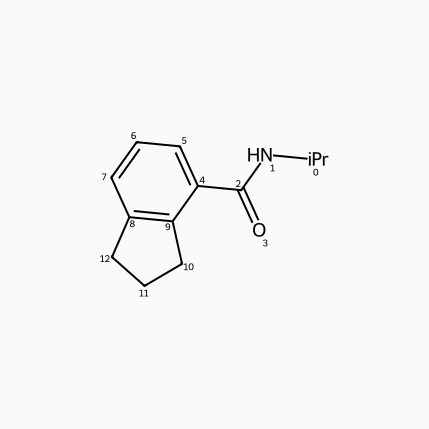 CC(C)NC(=O)c1cccc2c1CCC2